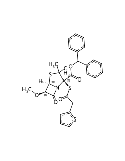 CO[C@@H]1C(=O)N2[C@@H]1SC(C)(C)[C@]2(SC(=O)Cc1cccs1)C(=O)OC(c1ccccc1)c1ccccc1